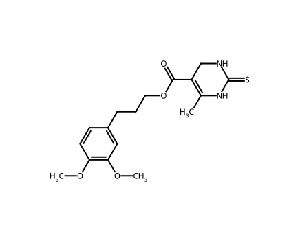 COc1ccc(CCCOC(=O)C2=C(C)NC(=S)NC2)cc1OC